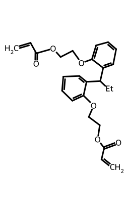 C=CC(=O)OCCOc1ccccc1C(CC)c1ccccc1OCCOC(=O)C=C